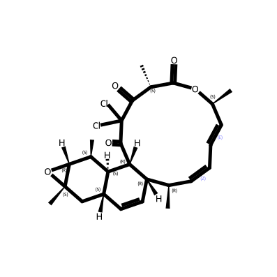 C[C@@H]1C(=O)O[C@@H](C)/C=C/C=C\[C@@H](C)[C@@H]2C=C[C@@H]3C[C@]4(C)O[C@@H]4[C@@H](C)[C@H]3[C@@H]2C(=O)C(Cl)(Cl)C1=O